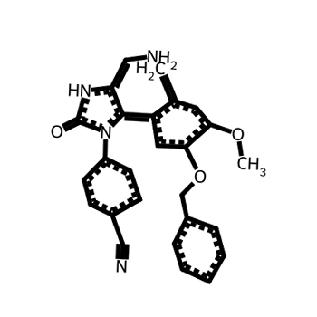 C=c1cc(OC)c(OCc2ccccc2)c/c1=c1/c(=C\N)[nH]c(=O)n1-c1ccc(C#N)cc1